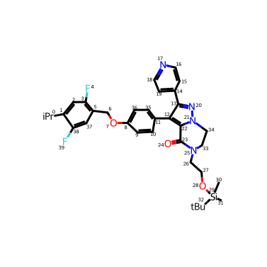 CC(C)c1cc(F)c(COc2ccc(-c3c(-c4ccncc4)nn4c3C(=O)N(CCO[Si](C)(C)C(C)(C)C)CC4)cc2)cc1F